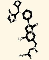 COC(=O)CN(C)Cc1cc(C(F)(F)F)c2cn(-c3cccc([C@H](c4nncn4C)C4CCC4)c3)c(=O)n2c1